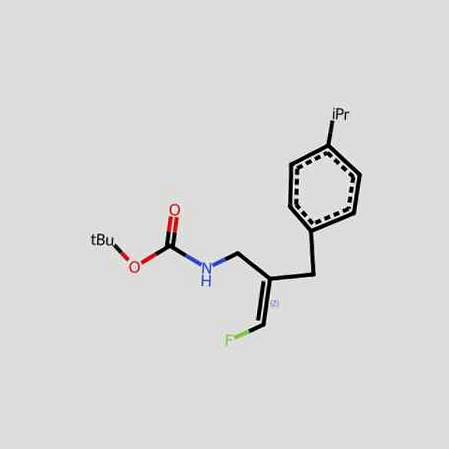 CC(C)c1ccc(C/C(=C/F)CNC(=O)OC(C)(C)C)cc1